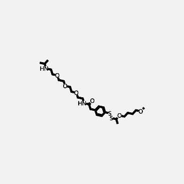 COCCCCOC(C)SSc1ccc(CC(=O)NCCOCCOCCOCCNC(C)C)cc1